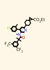 CCOC(=O)C1CC12CCC(c1cc(-c3ccc(F)cc3C)c(N(C)C(=O)C(C)(C)c3cc(C(F)(F)F)cc(C(F)(F)F)c3)cn1)CC2